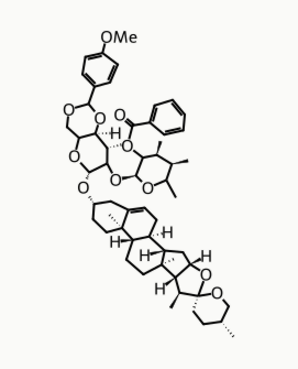 COc1ccc(C2OCC3O[C@@H](O[C@H]4CC[C@@]5(C)C(=CC[C@H]6[C@@H]7C[C@@H]8O[C@]9(CC[C@@H](C)CO9)[C@@H](C)[C@@H]8[C@@]7(C)CC[C@@H]65)C4)C(O[C@@H]4OC(C)[C@H](C)[C@H](C)C4OC(=O)c4ccccc4)[C@@H](C)[C@@H]3O2)cc1